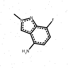 Cn1cc2c(N)ccc(F)c2n1